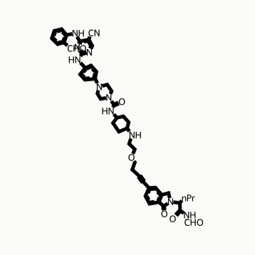 CCCC(C(=O)NC=O)N1Cc2cc(C#CCCOCCNC3CCC(NC(=O)N4CCN(c5ccc(Nc6ncc(C#N)c(Nc7ccccc7C=O)n6)cc5)CC4)CC3)ccc2C1=O